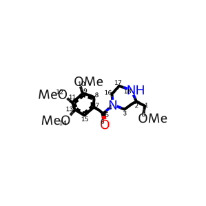 COCC1CN(C(=O)c2cc(OC)c(OC)c(OC)c2)CCN1